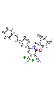 N#Cc1c(C(F)(F)F)cc(-c2cc(C=Cc3ccccc3)cs2)n(Cc2ccc(F)cc2F)c1=O